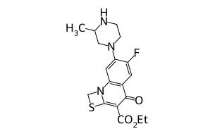 CCOC(=O)c1c2n(c3cc(N4CCNC(C)C4)c(F)cc3c1=O)CS2